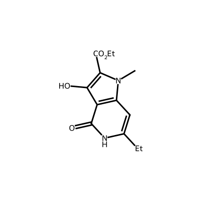 CCOC(=O)c1c(O)c2c(=O)[nH]c(CC)cc2n1C